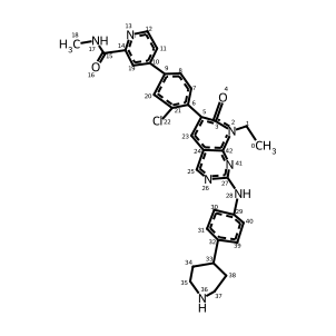 CCn1c(=O)c(-c2ccc(-c3ccnc(C(=O)NC)c3)cc2Cl)cc2cnc(Nc3ccc(C4CCNCC4)cc3)nc21